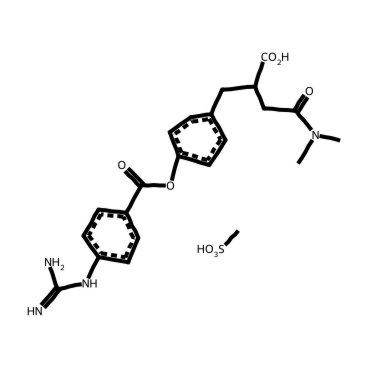 CN(C)C(=O)CC(Cc1ccc(OC(=O)c2ccc(NC(=N)N)cc2)cc1)C(=O)O.CS(=O)(=O)O